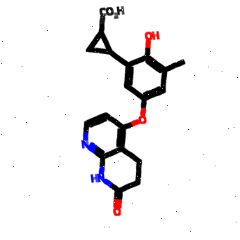 Cc1cc(Oc2ccnc3c2CCC(=O)N3)cc(C2CC2C(=O)O)c1O